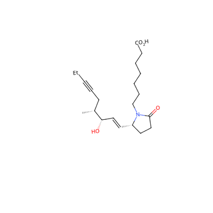 CCC#CC[C@@H](C)[C@@H](O)/C=C/[C@H]1CCC(=O)N1CCCCCCC(=O)O